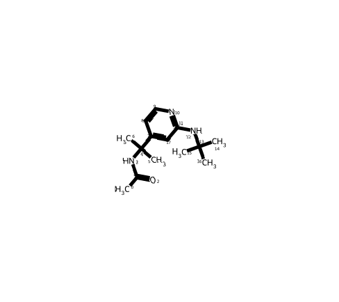 CC(=O)NC(C)(C)c1ccnc(NC(C)(C)C)c1